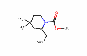 COCC1CC(C)(C)CCN1C(=O)OC(C)(C)C